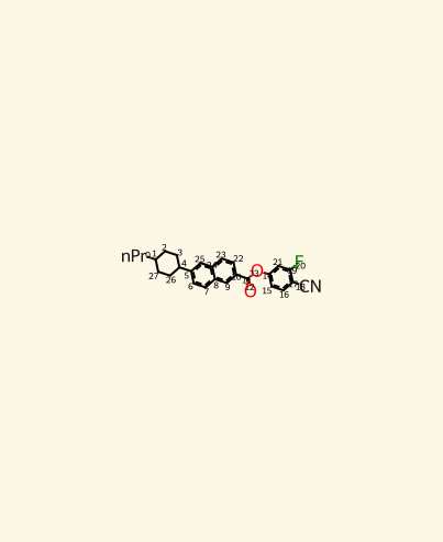 CCCC1CCC(c2ccc3cc(C(=O)Oc4ccc(C#N)c(F)c4)ccc3c2)CC1